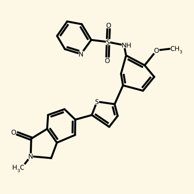 COc1ccc(-c2ccc(-c3ccc4c(c3)CN(C)C4=O)s2)cc1NS(=O)(=O)c1ccccn1